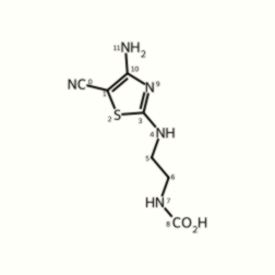 N#Cc1sc(NCCNC(=O)O)nc1N